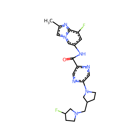 Cc1cn2cc(NC(=O)c3cnc(N4CCC(CN5CCC(F)C5)C4)cn3)cc(F)c2n1